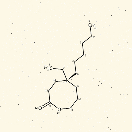 CCCCCC[C@@]1(CC)CCCOC(=O)CC1